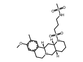 COc1cc2c(cc1C)[C@@H]1C[C@H]3[C@H](CCCN3S(=O)(=O)CCCNS(C)(=O)=O)CN1CC2